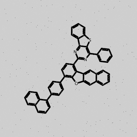 c1ccc(-c2nc(-c3ccc(-c4ccc(-c5cccc6ccccc56)cc4)c4oc5cc6ccccc6cc5c34)nc3c2sc2ccccc23)cc1